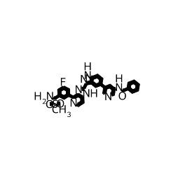 CS(=O)(=O)C(N)c1cc(F)cc(-c2nccc3[nH]c(-c4n[nH]c5ccc(-c6cncc(NC(=O)c7ccccc7)c6)cc45)nc23)c1